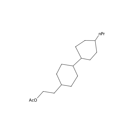 CCCC1CCC(C2CCC(CCOC(C)=O)CC2)CC1